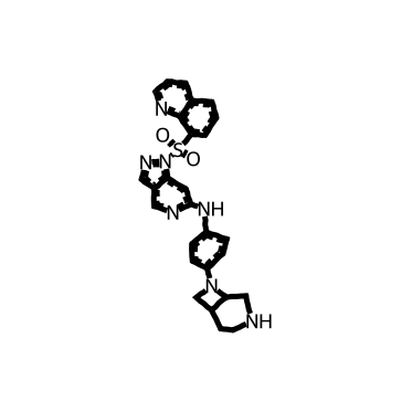 O=S(=O)(c1cccc2cccnc12)n1ncc2cnc(Nc3ccc(N4CC5CCNCC54)cc3)cc21